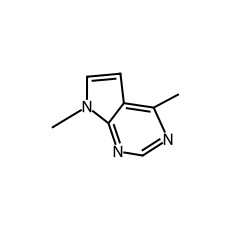 Cc1ncnc2c1ccn2C